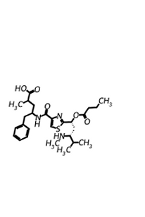 CCCC(=O)O[C@H](C[C@@H](NC)C(C)C)c1nc(C(=O)NC(Cc2ccccc2)CC(C)C(=O)O)cs1